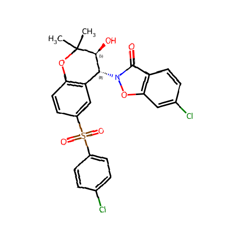 CC1(C)Oc2ccc(S(=O)(=O)c3ccc(Cl)cc3)cc2[C@@H](n2oc3cc(Cl)ccc3c2=O)[C@@H]1O